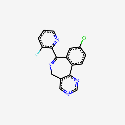 Fc1cccnc1C1=NCc2cncnc2-c2ccc(Cl)cc21